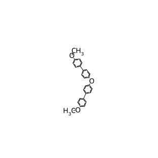 COc1ccc(-c2ccc(Oc3ccc(-c4ccc(OC)cc4)cc3)cc2)cc1